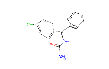 NC(=O)NC(c1ccccc1)c1ccc(Cl)cc1